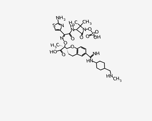 CNCC1CCC(NC(=N)c2ccc3c(c2)CC[C@H]([C@](C)(O/N=C(\C(=O)N[C@@H]2C(=O)N(OS(=O)(=O)O)C2(C)C)c2csc(N)n2)C(=O)O)O3)CC1